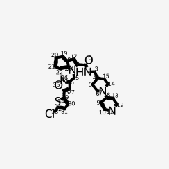 O=C(NCC1CCN(c2ccncc2)CC1)c1cc2ccccc2n1Cc1cc(-c2ccc(Cl)s2)on1